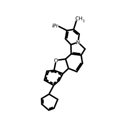 CC1=CN2CC3=C(C4Oc5ccc(C6C=CC=CC6)cc5C4C=C3)C2C=C1C(C)C